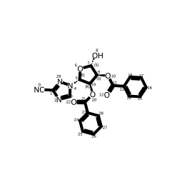 N#Cc1ncn([C@@H]2O[C@H](O)[C@@H](OC(=O)c3ccccc3)[C@H]2OC(=O)c2ccccc2)n1